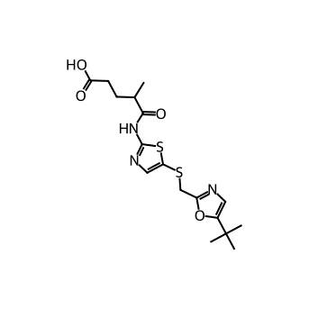 CC(CCC(=O)O)C(=O)Nc1ncc(SCc2ncc(C(C)(C)C)o2)s1